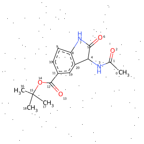 CC(=O)NC1C(=O)Nc2ccc(C(=O)OC(C)(C)C)cc21